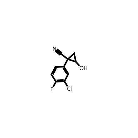 N#CC1(c2ccc(F)c(Cl)c2)CC1O